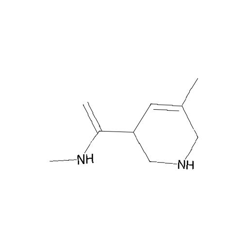 C=C(NC)C1C=C(C)CNC1